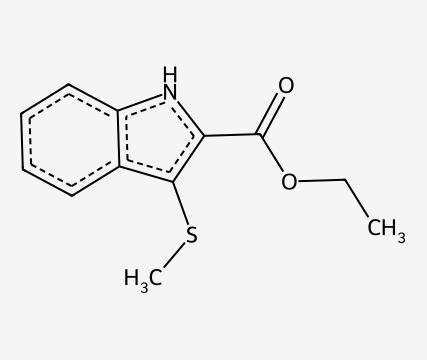 CCOC(=O)c1[nH]c2ccccc2c1SC